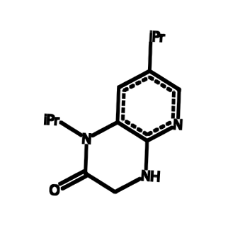 CC(C)c1cnc2c(c1)N(C(C)C)C(=O)CN2